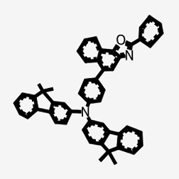 CC1(C)c2ccccc2-c2cc(N(c3ccc(-c4cc5nc(-c6ccccc6)oc5c5ccccc45)cc3)c3ccc4c(c3)C(C)(C)c3ccccc3-4)ccc21